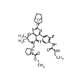 CCNC(=O)Nc1ccc(-c2nc(N3CC4CCC(C3)O4)nc3c2C(=O)N(C[C@@H]2CCCN2C(=O)OCC)CC(C)(C)O3)cc1F